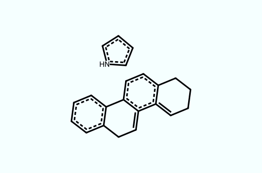 C1=c2c(ccc3c2=CCc2ccccc2-3)CCC1.c1cc[nH]c1